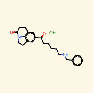 Cl.O=C(CCCCCNCc1ccccc1)c1cc2c3c(c1)CCN3C(=O)CC2